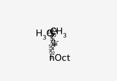 CCCCCCCCCCCCCCCCCC[S+](C)C.[I-]